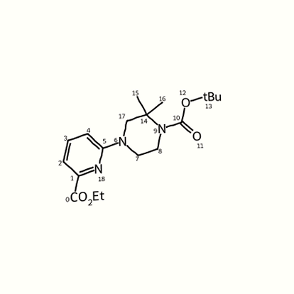 CCOC(=O)c1cccc(N2CCN(C(=O)OC(C)(C)C)C(C)(C)C2)n1